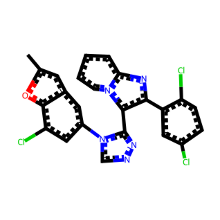 Cc1cc2cc(-n3cnnc3-c3c(-c4cc(Cl)ccc4Cl)nc4ccccn34)cc(Cl)c2o1